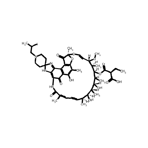 CCC(C(=O)O)C(=O)O[C@H]1[C@H](C)[C@H](O)[C@H](C)[C@@H](O)[C@@H](C)/C=C/C=C(/C)C(=O)NC2=C3NC4(CCN(CC(C)I)CC4)N=C3c3c(c(O)c(C)c4c3C(=O)[C@@](C)(O/C=C/[C@H](OC)[C@H]1C)O4)C2=O